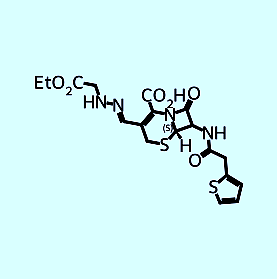 CCOC(=O)CNN=CC1=C(C(=O)O)N2C(=O)C(NC(=O)Cc3cccs3)[C@@H]2SC1